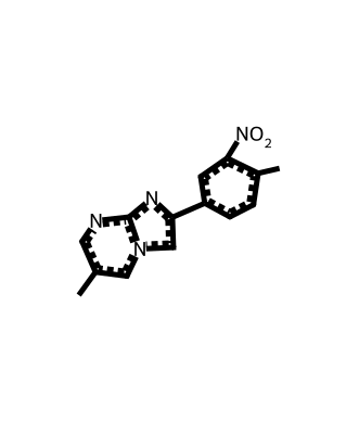 Cc1cnc2nc(-c3ccc(C)c([N+](=O)[O-])c3)cn2c1